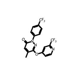 Cc1cc(=O)n(-c2ccc(C(F)(F)F)cc2)nc1Oc1ccnc(C(F)(F)F)c1